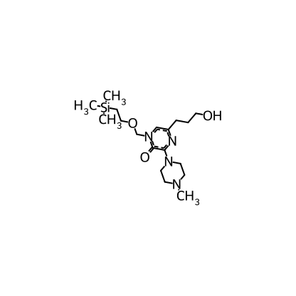 CN1CCN(c2nc(CCCO)cn(COCC[Si](C)(C)C)c2=O)CC1